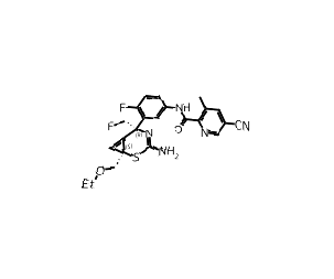 CCOC[C@]12C=C1[C@@](CF)(c1cc(NC(=O)c3ncc(C#N)cc3C)ccc1F)N=C(N)S2